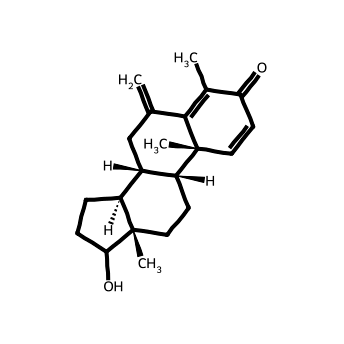 C=C1C[C@@H]2[C@@H](CC[C@]3(C)C(O)CC[C@@H]23)[C@@]2(C)C=CC(=O)C(C)=C12